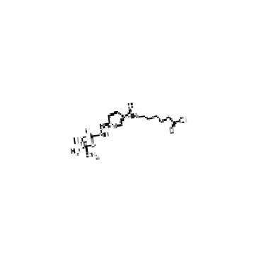 CC(C)(C)OC(=O)N/N=c1/ccc(C(=O)NCCCCCC(=O)O)c[nH]1